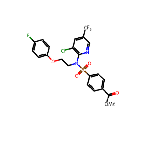 COC(=O)c1ccc(S(=O)(=O)N(CCOc2ccc(F)cc2)c2ncc(C(F)(F)F)cc2Cl)cc1